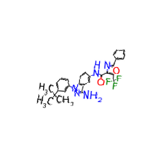 CC(C)(C)c1cccc(-n2nc(N)c3cc(NC(=O)c4nc(-c5ccccc5)oc4C(F)(F)F)ccc32)c1